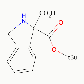 CC(C)(C)OC(=O)C1(C(=O)O)NCc2ccccc21